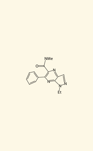 CCn1ncc2nc(C(=O)NC)c(-c3ccccc3)nc21